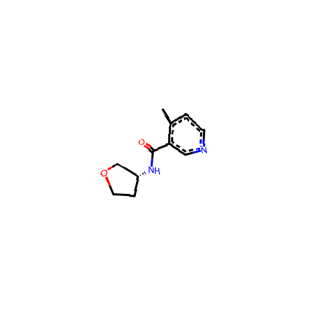 Cc1ccncc1C(=O)N[C@@H]1CCOC1